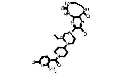 CC[C@H]1CN(C2=NC3NC(=O)NCCNC(=O)C3N=C2Cl)CCN1C1CCN(C(=O)c2ccc(Cl)nc2N)CC1